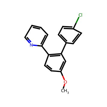 COc1ccc(-c2ccccn2)c(-c2ccc(Cl)cc2)c1